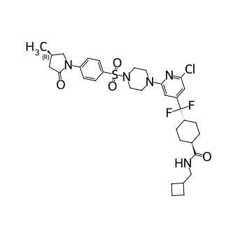 C[C@@H]1CC(=O)N(c2ccc(S(=O)(=O)N3CCN(c4cc(C(F)(F)[C@H]5CC[C@H](C(=O)NCC6CCC6)CC5)cc(Cl)n4)CC3)cc2)C1